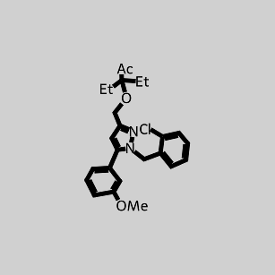 CCC(CC)(OCc1cc(-c2cccc(OC)c2)n(Cc2ccccc2Cl)n1)C(C)=O